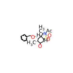 CC(=O)N1[C@H](C)[C@H]2[C@@H](COCc3ccccc3)[C@@H](C)C(=O)C[C@H]2S1(=O)=O